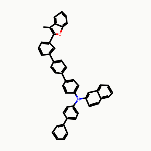 Cc1c(-c2cccc(-c3ccc(-c4ccc(N(c5ccc(-c6ccccc6)cc5)c5ccc6ccccc6c5)cc4)cc3)c2)oc2ccccc12